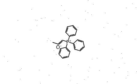 C/C([O-])=C/[P+](c1ccccc1)(c1ccccc1)c1ccccc1